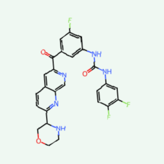 O=C(Nc1cc(F)cc(C(=O)c2cc3ccc(C4COCCN4)nc3cn2)c1)Nc1ccc(F)c(F)c1